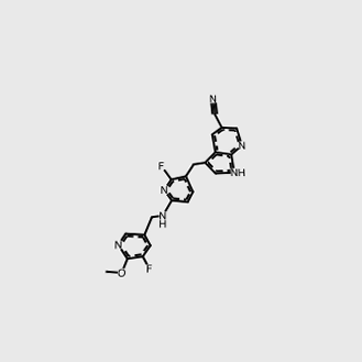 COc1ncc(CNc2ccc(Cc3c[nH]c4ncc(C#N)cc34)c(F)n2)cc1F